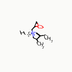 CC1C[N+](C)(CC2CO2)CC1C